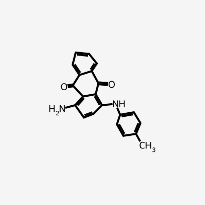 Cc1ccc(Nc2ccc(N)c3c2C(=O)c2ccccc2C3=O)cc1